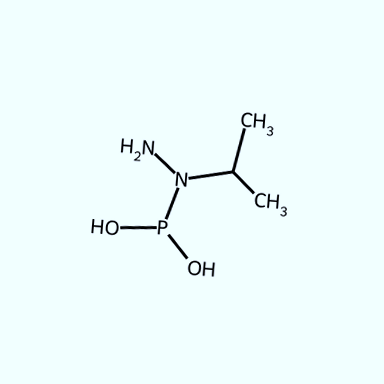 CC(C)N(N)P(O)O